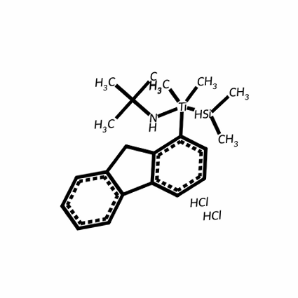 C[SiH](C)[Ti]([CH3])([CH3])([NH]C(C)(C)C)[c]1cccc2c1Cc1ccccc1-2.Cl.Cl